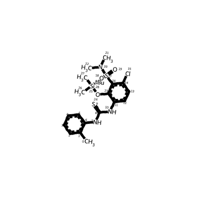 Cc1ccccc1NC(=S)Nc1ccc(Cl)c(S(=O)(=O)N(C)C)c1O[Si](C)(C)C(C)(C)C